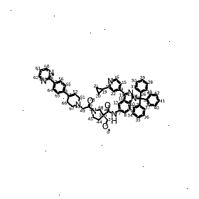 COC[C@@]1(C(=O)Nc2ccc3c(c2)c(-c2ccnc(C4CC4)c2)nn3C(c2ccccc2)(c2ccccc2)c2ccccc2)CCN(C(=O)CN2CC=C(c3ccc(-c4ncccn4)cc3)CC2)C1